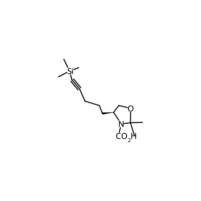 CC1(C)OC[C@H](CCCC#C[Si](C)(C)C)N1C(=O)O